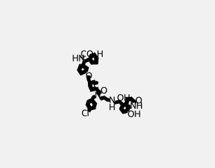 O=C(O)NC(c1ccccc1)c1cccc(OCc2ccc(C(=O)N(CCCNC[C@@H](O)c3ccc(O)c4[nH]c(=O)ccc34)Cc3ccc(Cl)cc3)cc2)c1